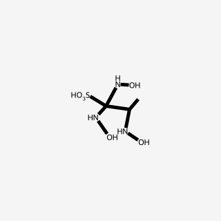 CC(NO)C(NO)(NO)S(=O)(=O)O